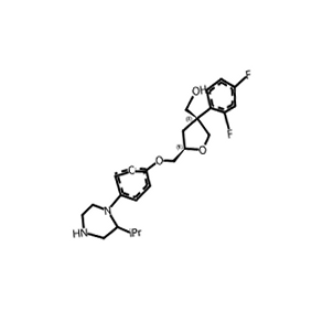 CC(C)C1CNCCN1c1ccc(OC[C@H]2C[C@](CO)(c3ccc(F)cc3F)CO2)cc1